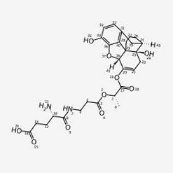 C[C@H](OC(=O)CCNC(=O)[C@@H](N)CCC(=O)O)C(=O)OC1=CC[C@@]2(O)[C@@H]3CCCC24c2c(ccc(O)c2O[C@@H]14)C3